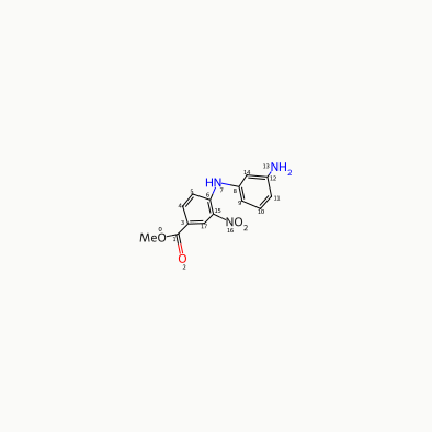 COC(=O)c1ccc(Nc2cccc(N)c2)c([N+](=O)[O-])c1